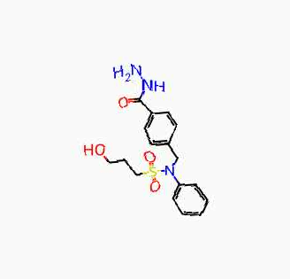 NNC(=O)c1ccc(CN(c2ccccc2)S(=O)(=O)CCCO)cc1